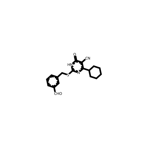 N#Cc1c(C2CCCCC2)nc(SCc2cccc(C=O)c2)[nH]c1=O